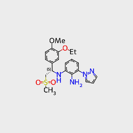 CCOc1cc([C@@H](CS(C)(=O)=O)Nc2cccc(-n3cccn3)c2N)ccc1OC